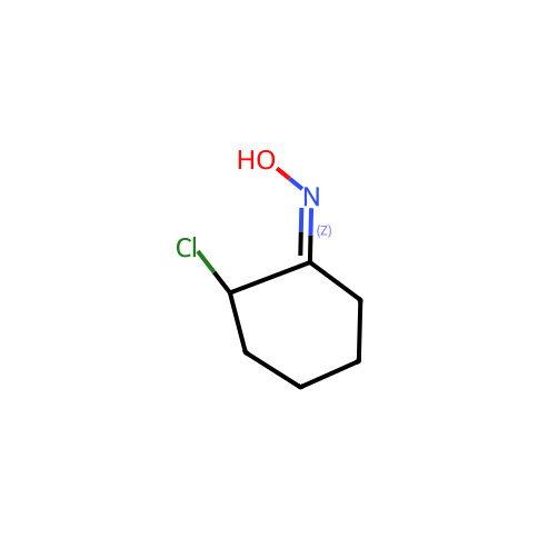 O/N=C1/CCCCC1Cl